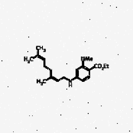 CCOC(=O)c1ccc(NCC=C(C)CCC=C(C)C)cc1NC